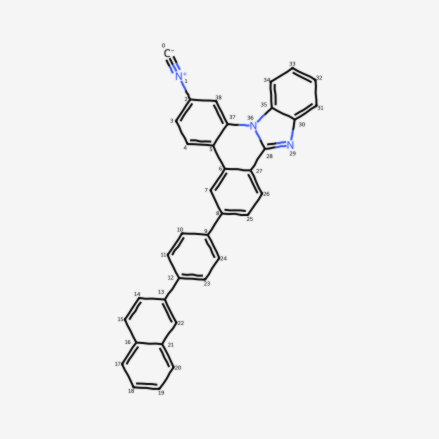 [C-]#[N+]c1ccc2c3cc(-c4ccc(-c5ccc6ccccc6c5)cc4)ccc3c3nc4ccccc4n3c2c1